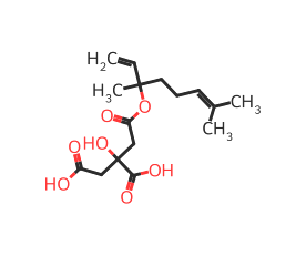 C=CC(C)(CCC=C(C)C)OC(=O)CC(O)(CC(=O)O)C(=O)O